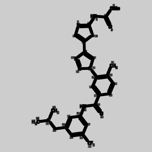 COC(=O)Nc1ncc(-c2cn(-c3cc(C(=O)Nc4cc(CN(C)C)cc(C(F)(F)F)c4)ccc3C)nn2)s1